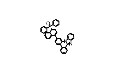 O=P(c1ccccc1)(c1ccccc1)c1ccc(-c2ccc3c4ccccc4c4nc5ccccc5n4c3c2)c2ccccc12